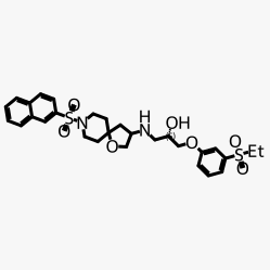 CCS(=O)(=O)c1cccc(OC[C@@H](O)CNC2COC3(CCN(S(=O)(=O)c4ccc5ccccc5c4)CC3)C2)c1